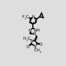 CN1C(=O)/C(=C/N2C=NC(c3cc(C4CC4)nc(C(F)(F)F)c3)N2)N(C)C1=O